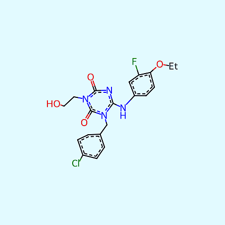 CCOc1ccc(Nc2nc(=O)n(CCO)c(=O)n2Cc2ccc(Cl)cc2)cc1F